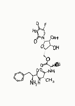 CC[C@H](C)[C@H](NC(=O)[C@H](C)NC(=O)[C@@H](N)Cc1ccccc1)C(=O)OC[C@@H]1O[C@H](n2cc(F)c(=O)[nH]c2=O)C(O)C1O.Cl